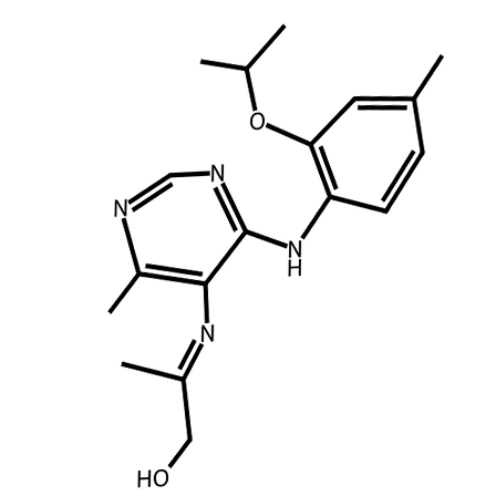 C/C(CO)=N\c1c(C)ncnc1Nc1ccc(C)cc1OC(C)C